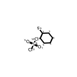 FC1CCCCC1.O=S(=O)(Cl)Cl